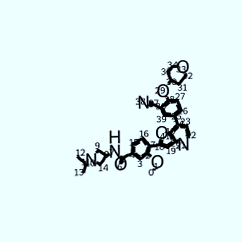 COc1cc(C(=O)NC2CN(C(C)C)C2)ccc1-c1cc2nccc(-c3ccc(OC4CCOCC4)c(C#N)c3)c2o1